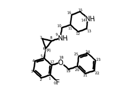 Fc1cccc([C@H]2CC2NCC2CCNCC2)c1OCc1ccccc1